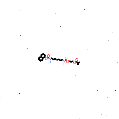 C=C(C)C(=O)OCCCOC(=O)NCCCCCCCNC(=O)Oc1cccc2ccccc12